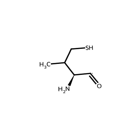 CC(CS)[C@H](N)[C]=O